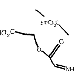 CC.CCOC(C)=O.N=CC(=O)OCC(=O)O